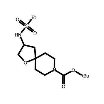 CCS(=O)(=O)NC1COC2(CCN(C(=O)OC(C)(C)C)CC2)C1